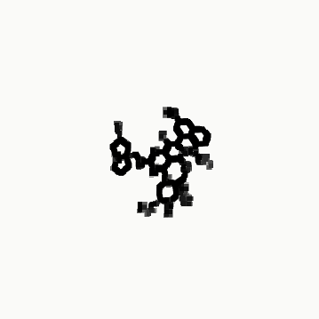 CC[C@@H]1N[C@H](C)CN2c3nc(OC[C@@]45CCCN4C[C@H](F)C5)nc4c(F)c(-c5cc(O)cc6cccc(OC(F)(F)F)c56)nc(c34)OC[C@H]12